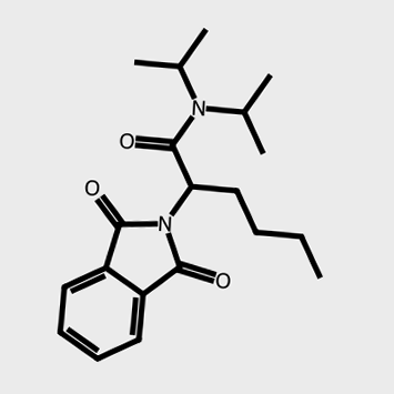 CCCCC(C(=O)N(C(C)C)C(C)C)N1C(=O)c2ccccc2C1=O